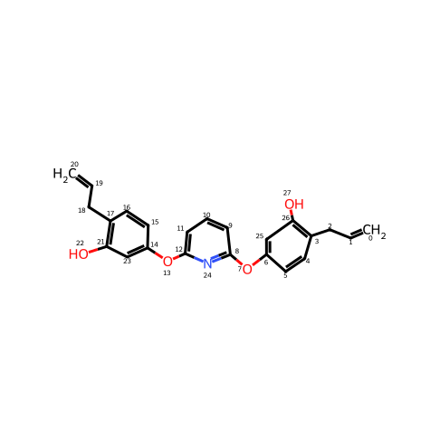 C=CCc1ccc(Oc2cccc(Oc3ccc(CC=C)c(O)c3)n2)cc1O